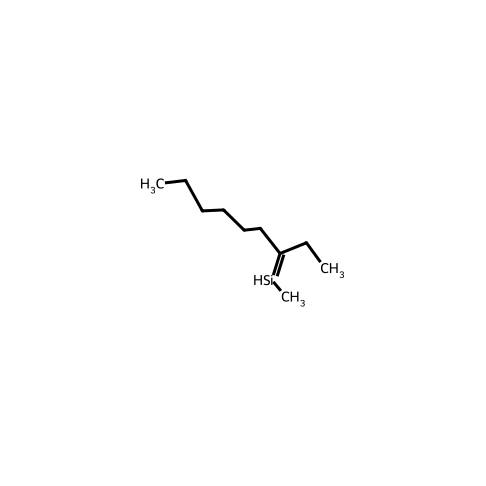 CCCCCCC(CC)=[SiH]C